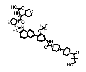 C[C@H]1C[C@@H](c2nc3c(ccc4cc(-c5ccc(NC(=O)N6CCN(C7CCN(C(=O)C(C)(C)CO)CC7)CC6)cc5OC(F)(F)F)ccc43)[nH]2)N(C(=O)[C@@H](NC(=O)O)C2CCOCC2)C1